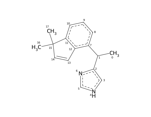 CC(c1c[nH]cn1)c1cccc2c1C=CC2(C)C